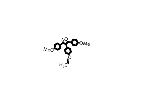 C=CCOc1ccc(-c2c(-c3ccc(OC)cc3)noc2-c2ccc(OC)cc2)cc1